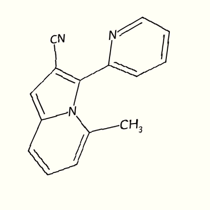 Cc1cccc2cc(C#N)c(-c3ccccn3)n12